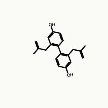 C=C(C)Cc1cc(O)ccc1-c1ccc(O)cc1CC(=C)C